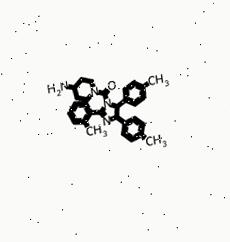 Cc1ccc(C2N=C(c3ccccc3C)N(C(=O)N3CCC(N)CC3)C2c2ccc(C)cc2)cc1